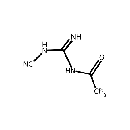 N#CNC(=N)NC(=O)C(F)(F)F